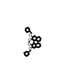 c1ccc(COc2cc3ccccc3c3c2OCOc2c(OCc4ccccc4)cc4ccccc4c2-3)cc1